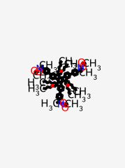 CCCCCCC1(CCCCCC)c2cc(-c3ccc(/C(C)=N\OC(C)=O)cc3)ccc2-c2c1c1c(c3c2C(CCCCCC)(CCCCCC)c2cc(-c4ccc(/C(C)=N/OC(C)=O)cc4)ccc2-3)C(CCCCCC)(CCCCCC)c2cc(-c3ccc(/C(C)=N\OC(C)=O)cc3)ccc2-1